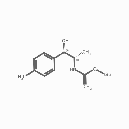 C=C(N[C@@H](C)[C@H](O)c1ccc(C)cc1)OC(C)(C)C